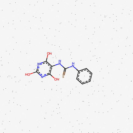 Oc1nc(O)c(NC(=S)Nc2ccccc2)c(O)n1